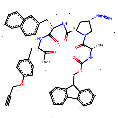 C#CCOc1ccc(C[C@H](NC(=O)[C@H](Cc2ccc3ccccc3c2)NC(=O)[C@@H]2C[C@H](N=[N+]=[N-])CN2C(=O)[C@@H](NC(=O)OCC2c3ccccc3-c3ccccc32)C(C)(C)C)C(=O)OC)cc1